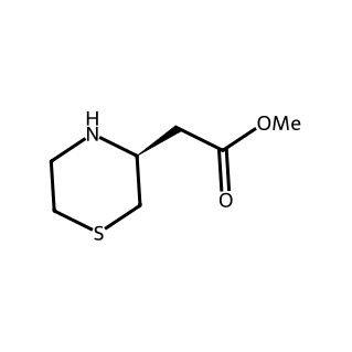 COC(=O)C[C@H]1CSCCN1